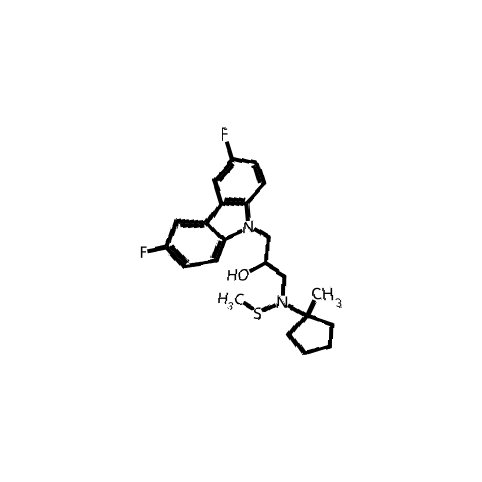 CSN(CC(O)Cn1c2ccc(F)cc2c2cc(F)ccc21)C1(C)CCCC1